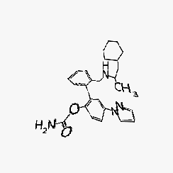 CC(CC1CCCCC1)NCc1ccccc1-c1cc(-n2cccn2)ccc1OC(N)=O